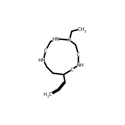 C=C=CC1CCNCCNN(CC)CCNC1